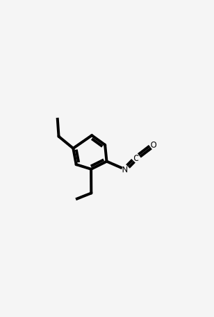 CCc1ccc(N=C=O)c(CC)c1